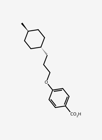 C[C@H]1CC[C@H](CCCOc2ccc(C(=O)O)cc2)CC1